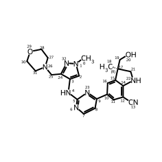 Cn1cc(Nc2nccc(-c3cc(C#N)c4c(c3)[C@@](C)(CO)CN4)n2)c(CN2CCOCC2)n1